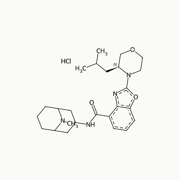 CC(C)C[C@H]1COCCN1c1nc2c(C(=O)NC3CC4CCCC(C3)N4C)cccc2o1.Cl